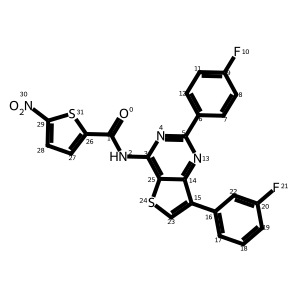 O=C(Nc1nc(-c2ccc(F)cc2)nc2c(-c3cccc(F)c3)csc12)c1ccc([N+](=O)[O-])s1